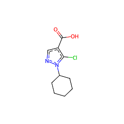 O=C(O)c1cnn(C2CCCCC2)c1Cl